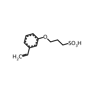 C=Cc1cccc(OCCCS(=O)(=O)O)c1